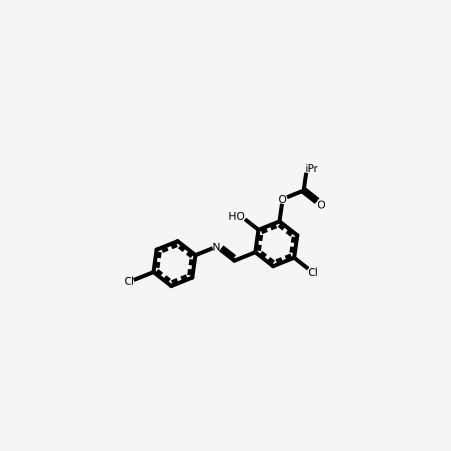 CC(C)C(=O)Oc1cc(Cl)cc(C=Nc2ccc(Cl)cc2)c1O